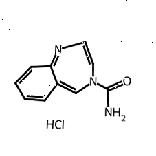 Cl.NC(=O)N1C=CN=c2ccccc2=C1